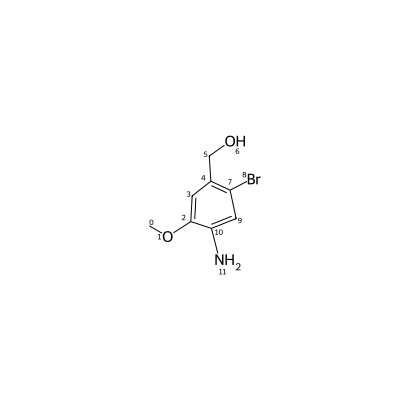 COc1cc(CO)c(Br)cc1N